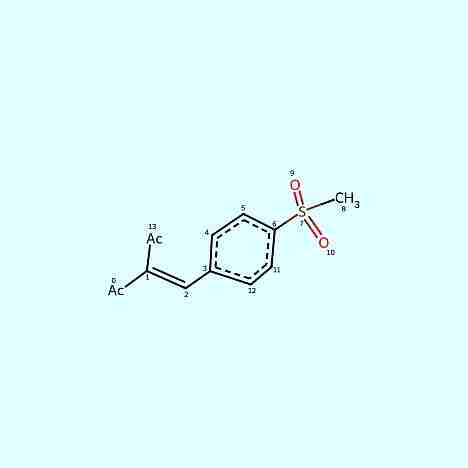 CC(=O)C(=Cc1ccc(S(C)(=O)=O)cc1)C(C)=O